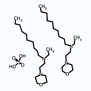 CCCCCCCCCCN(CC)CCN1CCOCC1.CCCCCCCCCCN(CC)CCN1CCOCC1.O=S(=O)(O)O